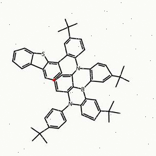 CC(C)(C)c1ccc(N2c3ccc(C(C)(C)C)cc3B3c4cc(C(C)(C)C)ccc4N(c4ccc(C(C)(C)C)cc4-c4cccc5c4sc4ccccc45)c4cccc2c43)cc1